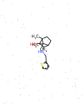 CC1(C)C2CCC1(C)C(O)C2NCc1cccs1